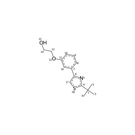 CC(C)(C)c1nc(-c2cccc(OCCO)c2)cs1